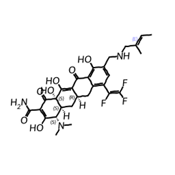 C/C=C(\C)CNCc1cc(C(F)=C(F)F)c2c(c1O)C(=O)C1=C(O)[C@]3(O)C(=O)C(C(N)=O)=C(O)[C@@H](N(C)C)[C@@H]3C[C@@H]1C2